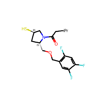 CC(C)CC(=O)N1C[C@H](S)C[C@H]1COCc1cc(F)c(F)cc1F